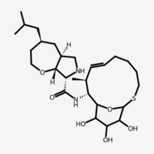 CC(C)C[C@@H]1CCO[C@@H]2[C@H](CN[C@@H]2C(=O)N[C@H]2C3OC(SCCCC/C=C/[C@@H]2C)C(O)C(O)C3O)C1